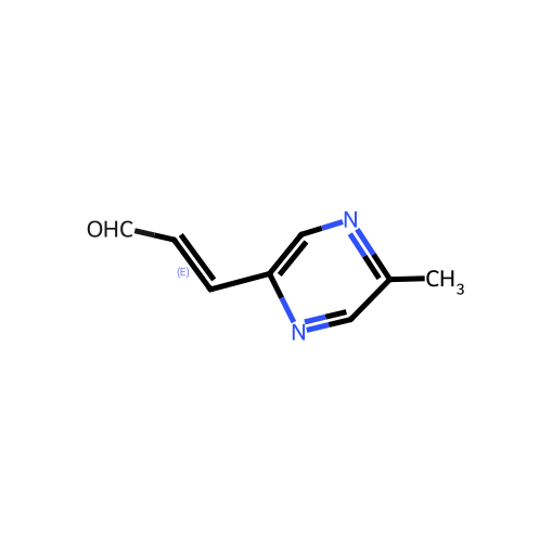 Cc1cnc(/C=C/C=O)cn1